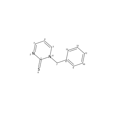 S=c1ncccn1Cc1ccccc1